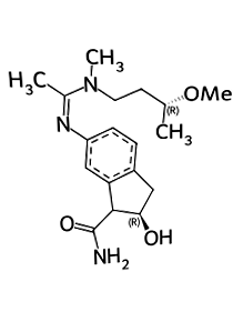 CO[C@H](C)CCN(C)C(C)=Nc1ccc2c(c1)C(C(N)=O)[C@H](O)C2